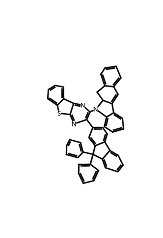 C1=C2c3ccccc3N(c3nc4c(nc3-c3ccc5c(c3)C(c3ccccc3)(c3ccccc3)c3ccccc3-5)sc3ccccc34)C2Cc2ccccc21